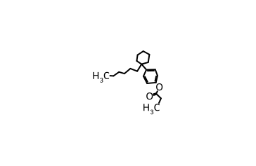 CCCCCCC1(c2ccc(OC(=O)CC)cc2)CCCCC1